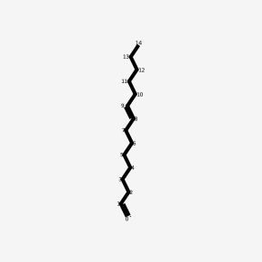 [CH]=CCCCCCCC=CCCCCC